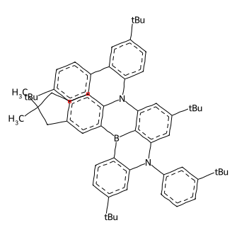 CC1(C)Cc2cc3c(cc2C1)N(c1ccc(C(C)(C)C)cc1-c1ccc(C(C)(C)C)cc1)c1cc(C(C)(C)C)cc2c1B3c1ccc(C(C)(C)C)cc1N2c1cccc(C(C)(C)C)c1